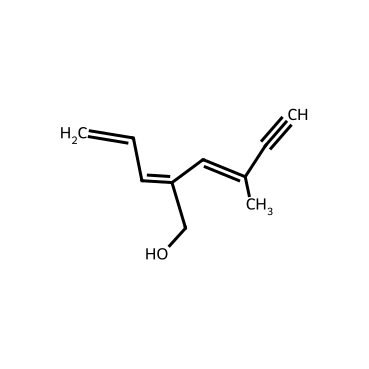 C#C/C(C)=C/C(=C\C=C)CO